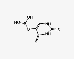 OB(O)Oc1c[nH]c(=S)[nH]c1=S